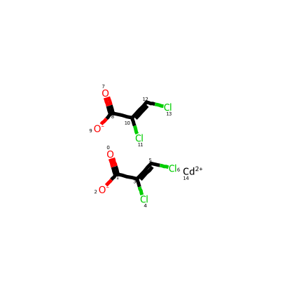 O=C([O-])C(Cl)=CCl.O=C([O-])C(Cl)=CCl.[Cd+2]